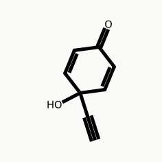 C#CC1(O)C=CC(=O)C=C1